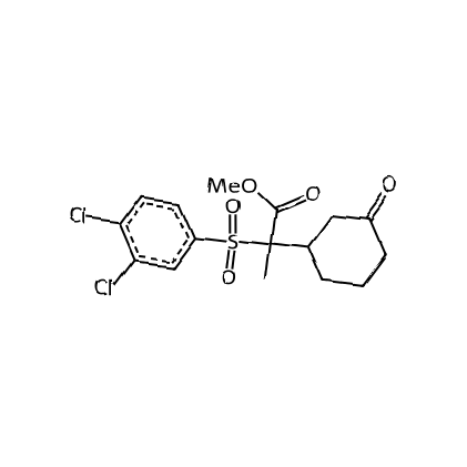 COC(=O)C(C)(C1CCCC(=O)C1)S(=O)(=O)c1ccc(Cl)c(Cl)c1